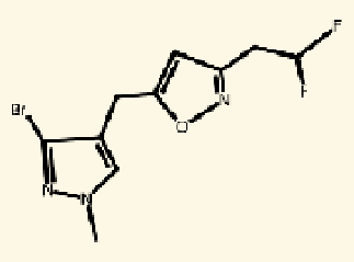 Cn1cc(Cc2cc(CC(F)F)no2)c(Br)n1